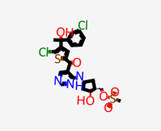 CC(O)(c1cccc(Cl)c1)c1cc(C(=O)c2cncnc2N[C@@H]2C[C@H](COS(C)(=O)=O)[C@@H](O)C2)sc1Cl